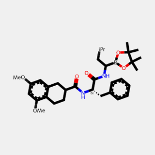 COc1cc2c(c(OC)c1)CCC(C(=O)N[C@@H](Cc1ccccc1)C(=O)NC(CC(C)C)B1OC(C)(C)C(C)(C)O1)C2